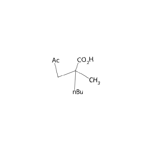 CCCCC(C)(CC(C)=O)C(=O)O